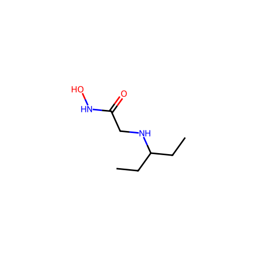 CCC(CC)NCC(=O)NO